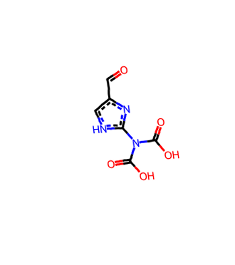 O=Cc1c[nH]c(N(C(=O)O)C(=O)O)n1